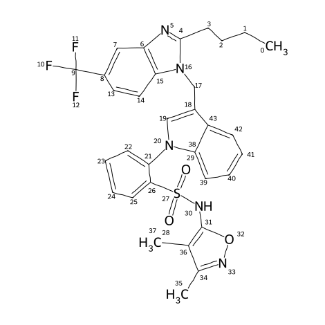 CCCCc1nc2cc(C(F)(F)F)ccc2n1Cc1cn(-c2ccccc2S(=O)(=O)Nc2onc(C)c2C)c2ccccc12